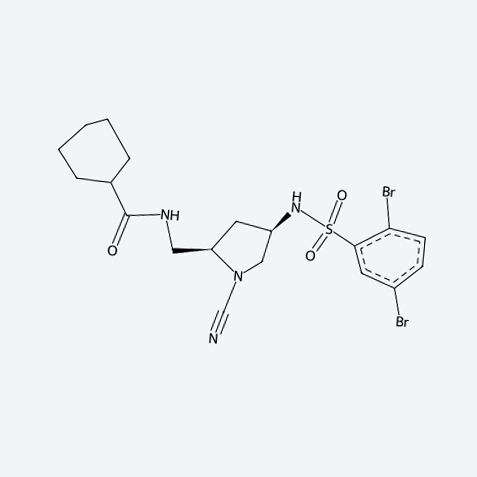 N#CN1C[C@H](NS(=O)(=O)c2cc(Br)ccc2Br)C[C@@H]1CNC(=O)C1CCCCC1